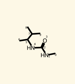 CNC(=O)NC(C)C(C)C